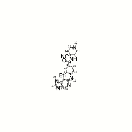 CCc1cc(C(=O)NC2(C#N)CCN(C)CC2)ccc1N(C)c1cc2c(cn1)ncn2C